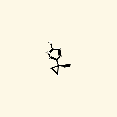 C#CC1(c2ccc(Cl)nc2)CC1